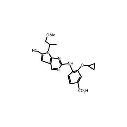 COCC(C)n1c(C#N)cc2cnc(Nc3ccc(C(=O)O)cc3OC3CC3)nc21